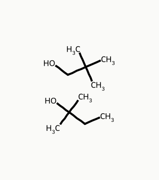 CC(C)(C)CO.CCC(C)(C)O